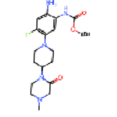 CN1CCN(C2CCN(c3cc(NC(=O)OC(C)(C)C)c(N)cc3F)CC2)C(=O)C1